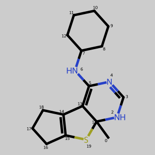 CC12NC=NC(NC3CCCCC3)=C1C1=C(CCC1)S2